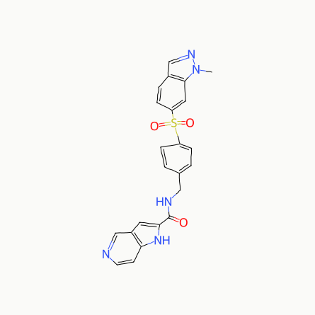 Cn1ncc2ccc(S(=O)(=O)c3ccc(CNC(=O)c4cc5cnccc5[nH]4)cc3)cc21